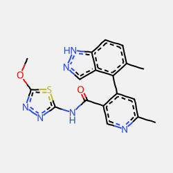 COc1nnc(NC(=O)c2cnc(C)cc2-c2c(C)ccc3[nH]ncc23)s1